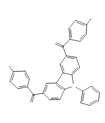 O=C(c1ccc(O)cc1)c1ccc2c(c1)c1cc(C(=O)c3ccc(O)cc3)ccc1n2-c1ccccc1